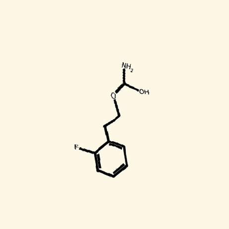 NC(O)OCCc1ccccc1F